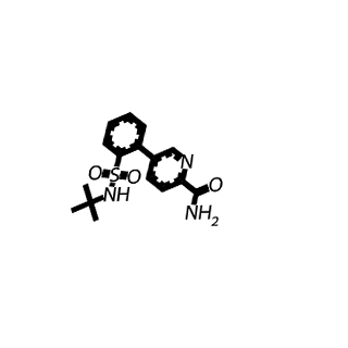 CC(C)(C)NS(=O)(=O)c1ccccc1-c1ccc(C(N)=O)nc1